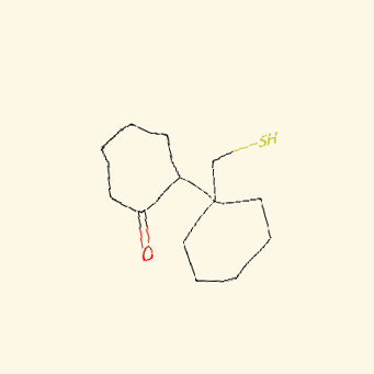 O=C1CCCCC1C1(CS)CCCCC1